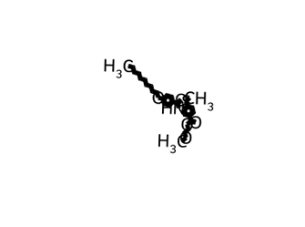 CCCCCCCCCCOc1ccc(C(=O)Nc2cc(C(=O)OCCOC)ccc2SC)cc1